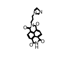 O=C1NC(=O)c2ccc3c4c(ccc1c24)C(=O)N(CCCn1ccnc1)C3=O